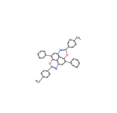 Cc1ccc(C2=Nc3cc(-c4ccccc4)c4c5c(cc(-c6ccccc6)c(c35)O2)N=C(c2ccc(C)cc2)O4)cc1